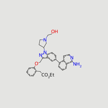 CCOC(=O)Cc1ccccc1OCc1nn(C2CCN(CCO)C2)c2ccc(-c3cccc4c(N)nccc34)cc12